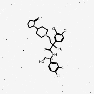 CC(CCN1CCC(N2CCCC2=O)CC1)(C(=O)N[C@H](CO)c1ccc(Cl)c(Cl)c1)c1ccc(Cl)c(Cl)c1